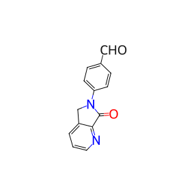 O=Cc1ccc(N2Cc3cccnc3C2=O)cc1